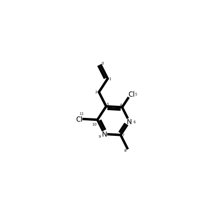 C=CCc1c(Cl)nc(C)nc1Cl